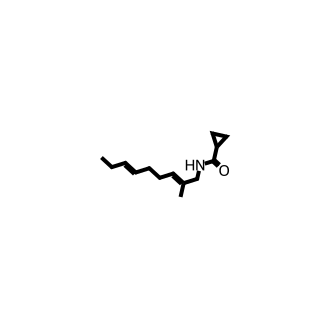 CCC=CCCC=C(C)CNC(=O)C1CC1